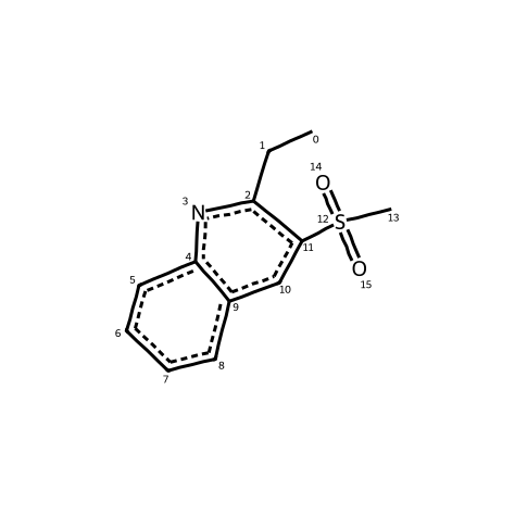 CCc1nc2ccccc2cc1S(C)(=O)=O